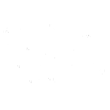 COc1cc(C)cc2cc(-c3cn(C4CNC4)c4ncnc(N)c34)oc12.Cl